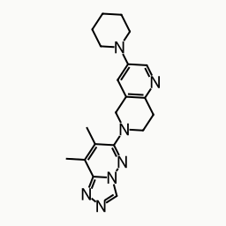 Cc1c(N2CCc3ncc(N4CCCCC4)cc3C2)nn2cnnc2c1C